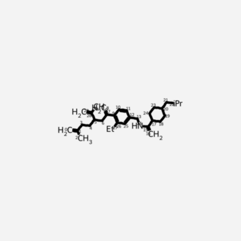 C=C(C)CCC(CC(=C)c1ccc(CNC(=C)C2CCC(CC(C)C)CC2)cc1CC)C(=C)C